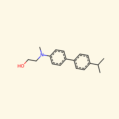 CC(C)c1ccc(-c2ccc(N(C)CCO)cc2)cc1